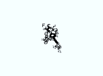 Cc1c(C(F)(F)F)n(C)c(=O)n(-c2cc(NS(C)(=O)=O)c(C#C[Si](C)(C)C)cc2F)c1=O